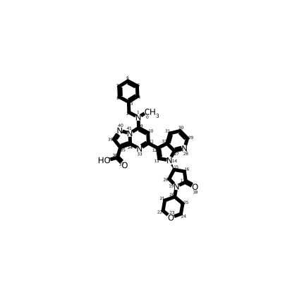 CN(Cc1ccccc1)c1cc(-c2cn([C@@H]3CC(=O)N(C4CCOCC4)C3)c3ncccc23)nc2c(C(=O)O)cnn12